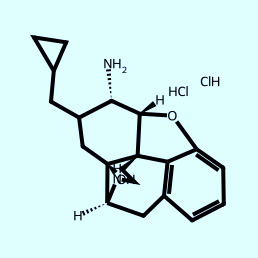 Cl.Cl.N[C@H]1C(CC2CC2)C[C@@]2(O)[C@@H]3Cc4cccc5c4[C@@]2(CCN3)[C@H]1O5